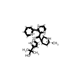 C[C@@H]1CC[C@](C(=O)c2nccnc2-c2ccccn2)(c2cc(C(C)(C)O)no2)CN1